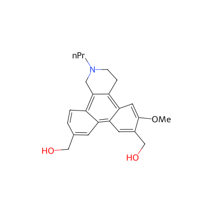 CCCN1CCc2c(c3ccc(CO)cc3c3cc(CO)c(OC)cc23)C1